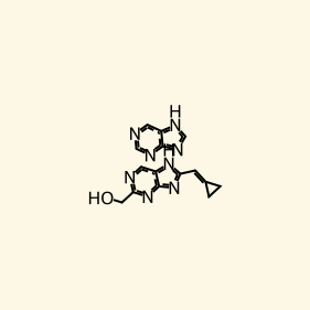 OCc1ncc2[nH]c(C=C3CC3)nc2n1.c1ncc2[nH]cnc2n1